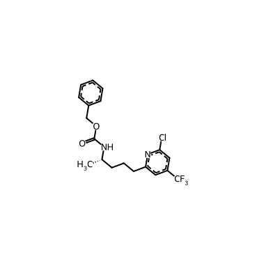 C[C@@H](CCCc1cc(C(F)(F)F)cc(Cl)n1)NC(=O)OCc1ccccc1